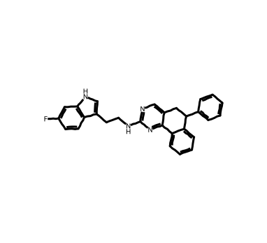 Fc1ccc2c(CCNc3ncc4c(n3)-c3ccccc3C(c3ccccc3)C4)c[nH]c2c1